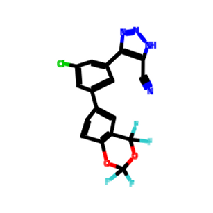 N#Cc1[nH]nnc1-c1cc(Cl)cc(-c2ccc3c(c2)C(F)(F)OC(F)(F)O3)c1